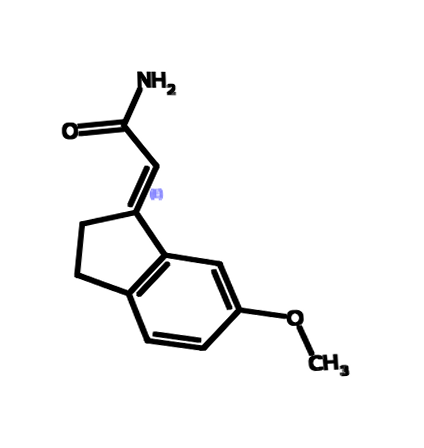 COc1ccc2c(c1)/C(=C/C(N)=O)CC2